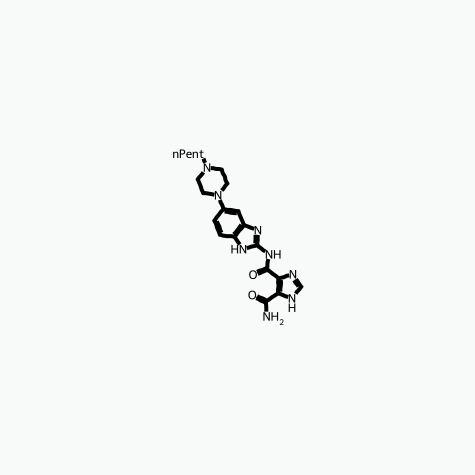 CCCCCN1CCN(c2ccc3[nH]c(NC(=O)c4nc[nH]c4C(N)=O)nc3c2)CC1